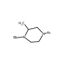 CC(=O)N1CCN(C(C)(C)C)C(C)C1